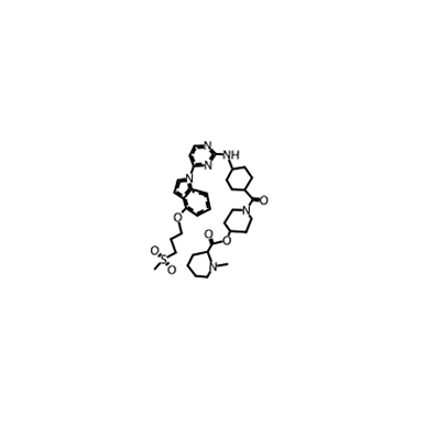 CN1CCCCC1C(=O)OC1CCN(C(=O)C2CCC(Nc3nccc(-n4ccc5c(OCCCS(C)(=O)=O)cccc54)n3)CC2)CC1